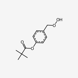 CC(C)(C)C(=O)Oc1ccc(COO)cc1